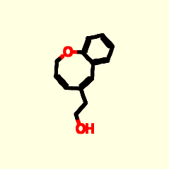 OCCC1=Cc2ccccc2OCC=C1